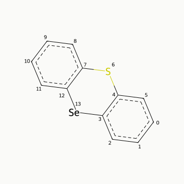 c1ccc2c(c1)Sc1ccccc1[Se]2